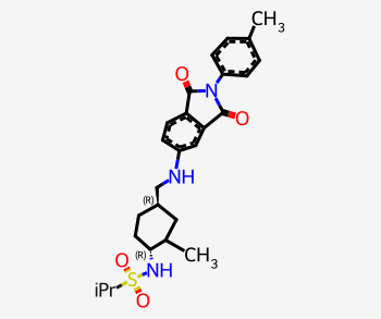 Cc1ccc(N2C(=O)c3ccc(NC[C@@H]4CC[C@@H](NS(=O)(=O)C(C)C)C(C)C4)cc3C2=O)cc1